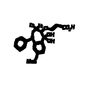 CCC1(CC)CN(c2ccccc2)c2cc(SC)ccc2S(O)(O)C1O/C=C/C(=O)O